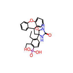 CCc1c(C2(CC3c4ccccc4Oc4ccccc43)NC(=O)NC2=O)ccc(P(=O)(O)O)c1CC